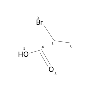 CCBr.O=CO